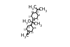 CC(C)C1CCN(C(C)(C)C2CCN(C)CC2)CC1